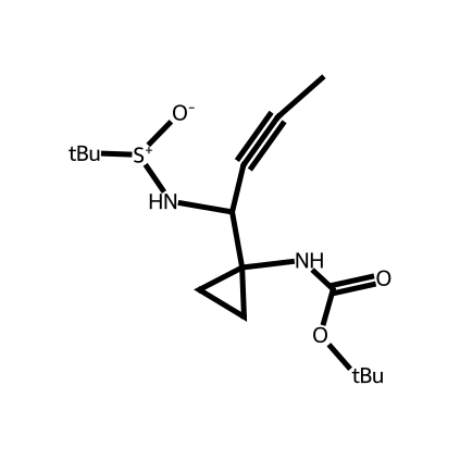 CC#CC(N[S+]([O-])C(C)(C)C)C1(NC(=O)OC(C)(C)C)CC1